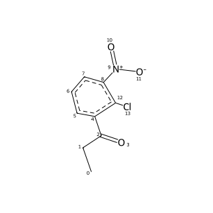 CCC(=O)c1cccc([N+](=O)[O-])c1Cl